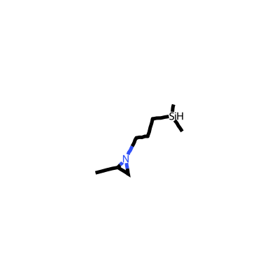 CC1CN1CCC[SiH](C)C